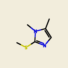 CSc1ncc(C)n1C